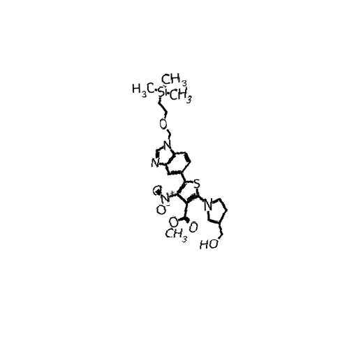 COC(=O)c1c(N2CCC(CO)C2)sc(-c2ccc3c(c2)ncn3COCC[Si](C)(C)C)c1[N+](=O)[O-]